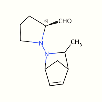 CC1C2C=CC(C2)N1N1CCC[C@H]1C=O